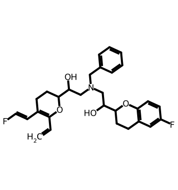 C=CC1=C(/C=C/F)CCC(C(O)CN(Cc2ccccc2)CC(O)C2CCc3cc(F)ccc3O2)O1